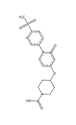 CS(=O)(=O)c1ccc(-n2ccc(OC3CCN(C(=O)O)CC3)cc2=O)cn1